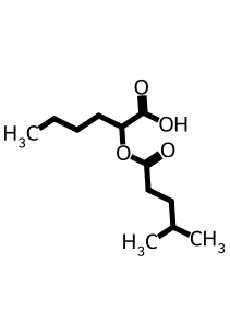 CCCCC(OC(=O)CCC(C)C)C(=O)O